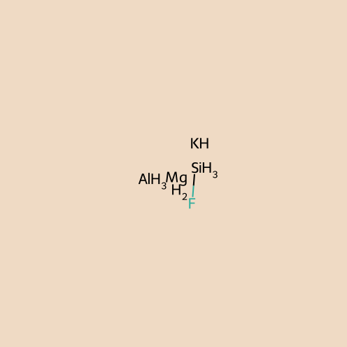 F[SiH3].[AlH3].[KH].[MgH2]